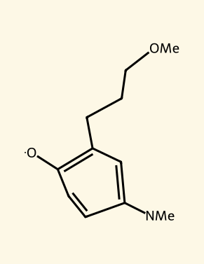 CNc1ccc([O])c(CCCOC)c1